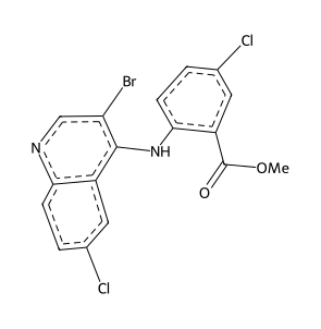 COC(=O)c1cc(Cl)ccc1Nc1c(Br)cnc2ccc(Cl)cc12